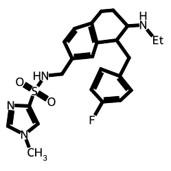 CCNC1CCc2ccc(CNS(=O)(=O)c3cn(C)cn3)cc2C1Cc1ccc(F)cc1